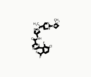 C[C@@H]1CCN1c1ncc([C@@H](C)n2cc(NC(=O)c3cncc(-c4c(C(F)F)ccc(Cl)c4F)n3)cn2)cn1